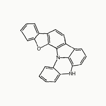 c1ccc2c(c1)Nc1cccc3c4ccc5c6ccccc6oc5c4n-2c13